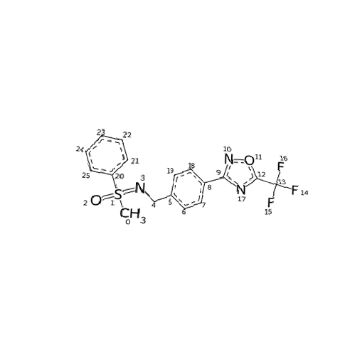 CS(=O)(=NCc1ccc(-c2noc(C(F)(F)F)n2)cc1)c1ccccc1